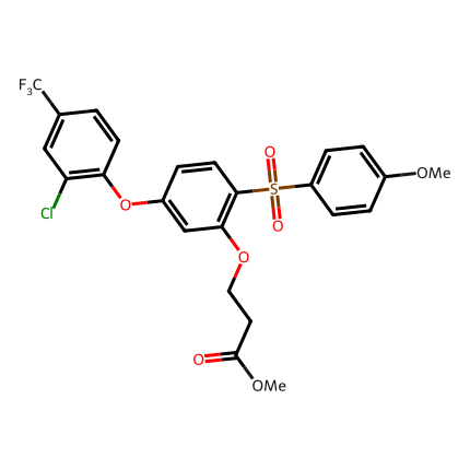 COC(=O)CCOc1cc(Oc2ccc(C(F)(F)F)cc2Cl)ccc1S(=O)(=O)c1ccc(OC)cc1